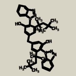 CC(C)(C)CC(C)(C)c1cc(Cc2cc(O)c(-n3nnc4ccccc43)c(C(C)(C)CC(C)(C)C)c2)cc(O)c1-n1nnc2ccccc21